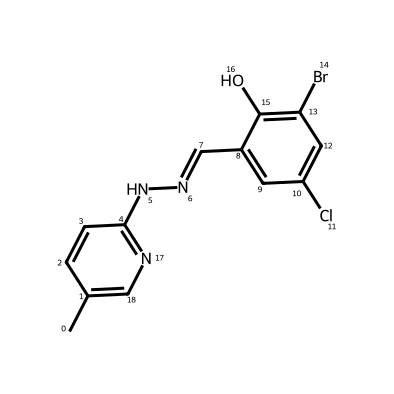 Cc1ccc(N/N=C/c2cc(Cl)cc(Br)c2O)nc1